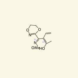 C=CC(=C(\C)O)/C(=N\OC)C1=NOCCO1